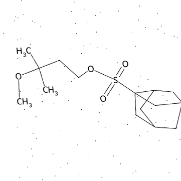 COC(C)(C)CCOS(=O)(=O)C12CC3CC(CC1C3)C2